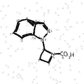 O=C(O)N1CCC1n1ncc2ccccc21